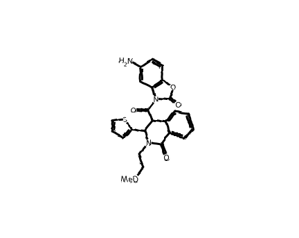 COCCN1C(=O)c2ccccc2C(C(=O)n2c(=O)oc3ccc(N)cc32)C1c1cccs1